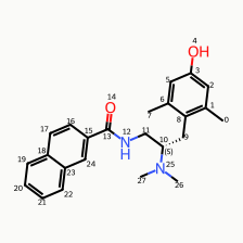 Cc1cc(O)cc(C)c1C[C@@H](CNC(=O)c1ccc2ccccc2c1)N(C)C